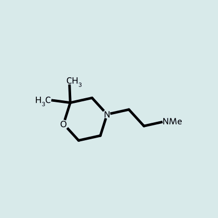 CNCCN1CCOC(C)(C)C1